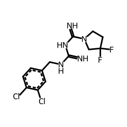 N=C(NCc1ccc(Cl)c(Cl)c1)NC(=N)N1CCC(F)(F)C1